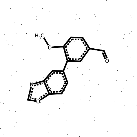 COc1ccc(C=O)cc1-c1ccc2ocnc2c1